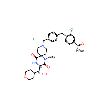 CCCCN1C(=O)[C@@H]([C@H](O)C2CCOCC2)NC(=O)C12CCN(Cc1ccc(Cc3ccc(C(=O)NC)cc3Cl)cc1)CC2.Cl